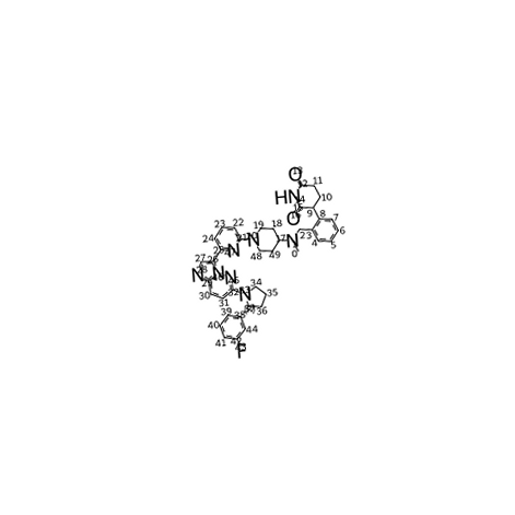 CN(Cc1ccccc1C1CCC(=O)NC1=O)C1CCN(c2cccc(-c3cnc4ccc(N5CCC[C@@H]5c5cccc(F)c5)nn34)n2)CC1